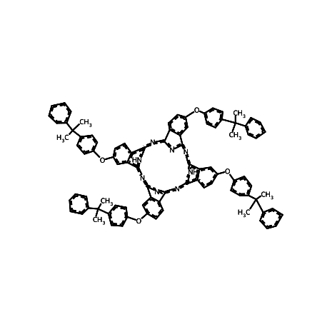 CC(C)(c1ccccc1)c1ccc(Oc2ccc3c(c2)-c2nc-3nc3[nH]c(nc4nc(nc5[nH]c(n2)c2cc(Oc6ccc(C(C)(C)c7ccccc7)cc6)ccc52)-c2ccc(Oc5ccc(C(C)(C)c6ccccc6)cc5)cc2-4)c2cc(Oc4ccc(C(C)(C)c5ccccc5)cc4)ccc32)cc1